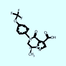 C[C@H]1CN(c2ccc(OC(F)(F)F)cc2)C(=O)c2c(C(=O)O)cnn21